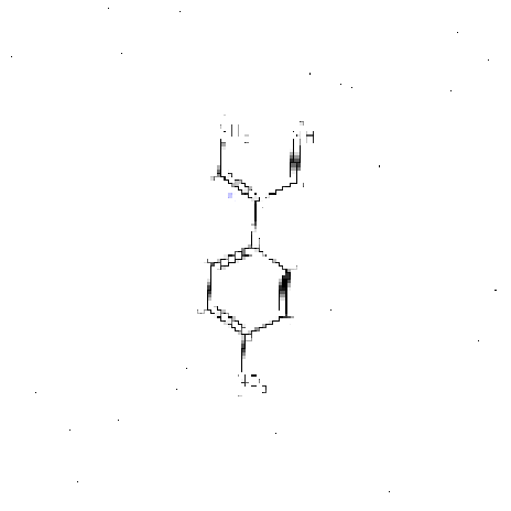 N=C/C(=C\N)c1ccc([N+](=O)[O-])cc1